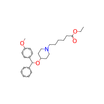 CCOC(=O)CCCCCN1CCC(OC(c2ccccc2)c2ccc(OC)cc2)CC1